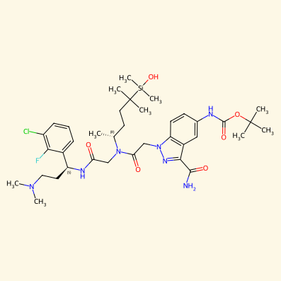 C[C@H](CCC(C)(C)[Si](C)(C)O)N(CC(=O)N[C@@H](CCN(C)C)c1cccc(Cl)c1F)C(=O)Cn1nc(C(N)=O)c2cc(NC(=O)OC(C)(C)C)ccc21